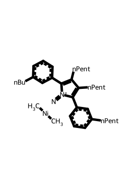 CCCCCC1=C(c2cccc(CCCC)c2)[N+](=[N-])C(c2cccc(CCCCC)c2)=C1CCCCC.[CH3][Ni][CH3]